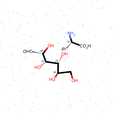 CC(C)[C@H](N)C(=O)O.O=C[C@H](O)[C@@H](O)[C@H](O)[C@H](O)CO